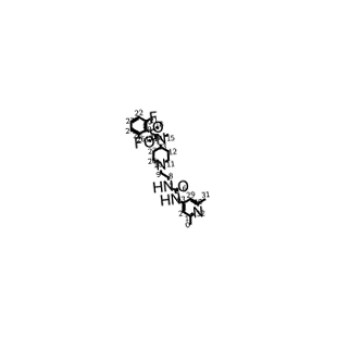 Cc1cc(NC(=O)NCCN2CCC(N(C)S(=O)(=O)c3c(F)cccc3F)CC2)cc(C)n1